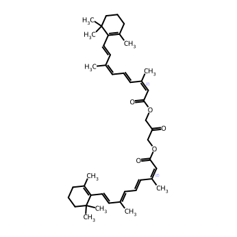 CC(C=CC1=C(C)CCCC1(C)C)=CC=C/C(C)=C\C(=O)OCC(=O)COC(=O)/C=C(/C)C=CC=C(C)C=CC1=C(C)CCCC1(C)C